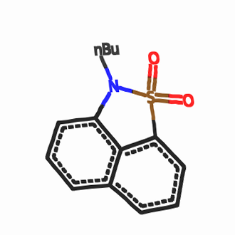 CCCCN1c2cccc3cccc(c23)S1(=O)=O